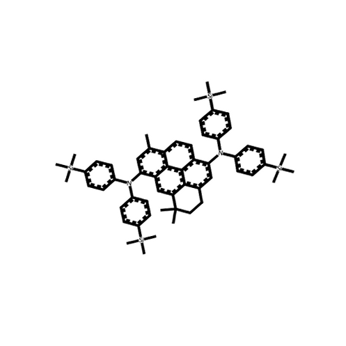 Cc1cc(N(c2ccc([Si](C)(C)C)cc2)c2ccc([Si](C)(C)C)cc2)c2cc3c4c(cc(N(c5ccc([Si](C)(C)C)cc5)c5ccc([Si](C)(C)C)cc5)c5ccc1c2c54)CCC3(C)C